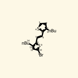 CCCCc1ccsc1/C=C/c1sc(Br)cc1CCCC